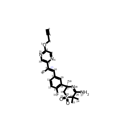 C#CCOc1cnc(/C(F)=C/c2ccc(F)c([C@]3(C)CS(=O)(=O)C(C)(C)C(N)=N3)c2)cn1